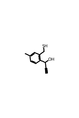 C#CC(O)c1ccc(C)cc1CS